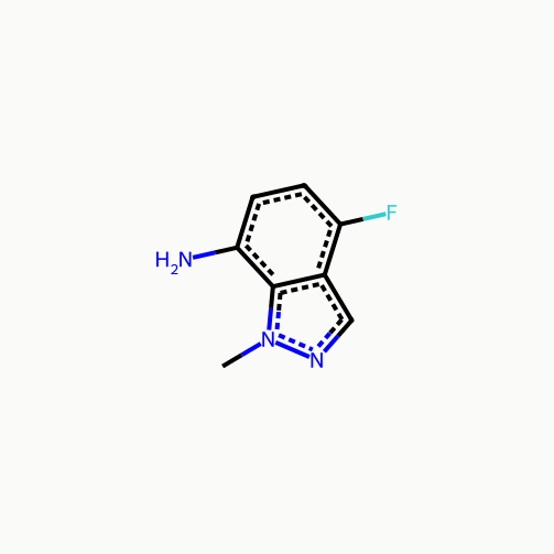 Cn1ncc2c(F)ccc(N)c21